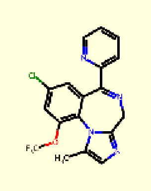 Cc1cnc2n1-c1c(OC(F)(F)F)cc(Cl)cc1C(c1ccccn1)=NC2